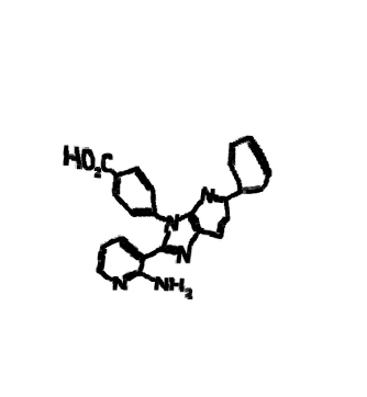 Nc1ncccc1-c1nc2ccc(-c3ccccc3)nc2n1-c1ccc(C(=O)O)cc1